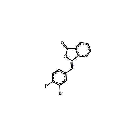 O=C1O/C(=C\c2ccc(F)c(Br)c2)c2ccccc21